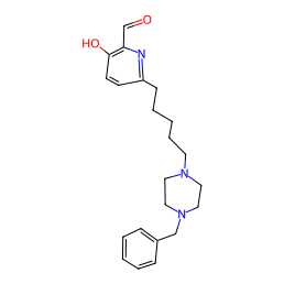 O=Cc1nc(CCCCCN2CCN(Cc3ccccc3)CC2)ccc1O